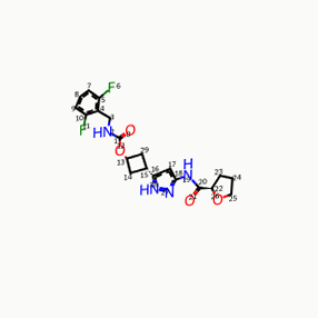 O=C(NCc1c(F)cccc1F)O[C@H]1C[C@@H](c2cc(NC(=O)[C@H]3CCCO3)n[nH]2)C1